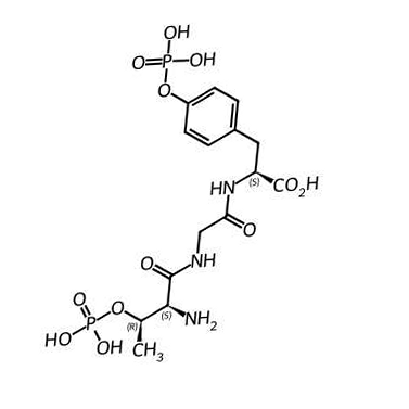 C[C@@H](OP(=O)(O)O)[C@H](N)C(=O)NCC(=O)N[C@@H](Cc1ccc(OP(=O)(O)O)cc1)C(=O)O